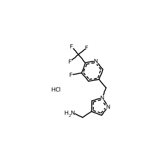 Cl.NCc1cnn(Cc2cnc(C(F)(F)F)c(F)c2)c1